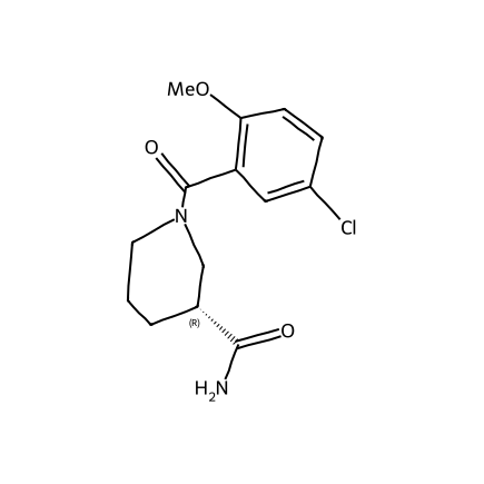 COc1ccc(Cl)cc1C(=O)N1CCC[C@@H](C(N)=O)C1